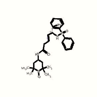 CC(C)C[C@@H](/C=C/CC(=O)NC1CC(C)(C)N([O])C(C)(C)C1)NP(=O)(c1ccccc1)c1ccccc1